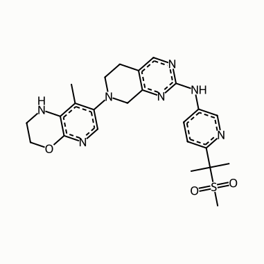 Cc1c(N2CCc3cnc(Nc4ccc(C(C)(C)S(C)(=O)=O)nc4)nc3C2)cnc2c1NCCO2